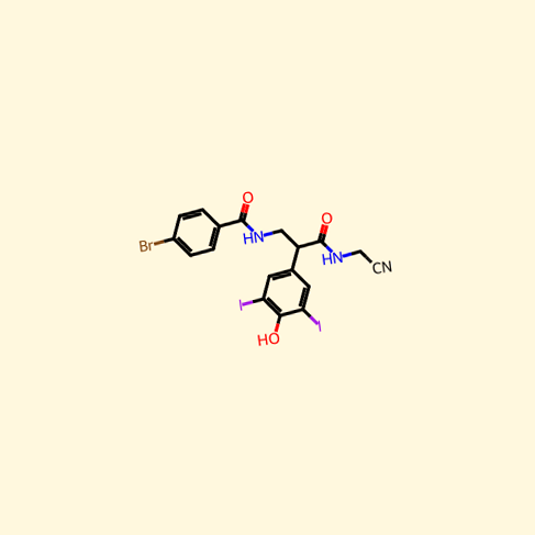 N#CCNC(=O)C(CNC(=O)c1ccc(Br)cc1)c1cc(I)c(O)c(I)c1